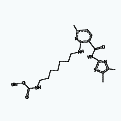 Cc1ccc(C(=O)Nc2nc(C)c(C)s2)c(NCCCCCCCNC(=O)OC(C)(C)C)n1